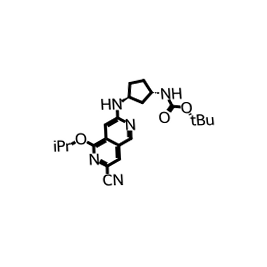 CC(C)Oc1nc(C#N)cc2cnc(N[C@H]3CC[C@H](NC(=O)OC(C)(C)C)C3)cc12